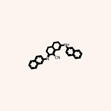 N#CC1=C2C=C(Nc3ccc4ccccc4c3)CCC2CC/C1=N\c1ccc2ccccc2c1